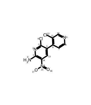 Nc1nc(Cl)c(-c2ccncc2Cl)cc1[N+](=O)[O-]